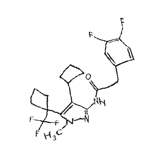 Cn1nc(NC(=O)Cc2ccc(F)c(F)c2)c(C2CCC2)c1C1(C(F)(F)F)CCC1